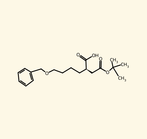 CC(C)(C)OC(=O)C[C@@H](CCCCOCc1ccccc1)C(=O)O